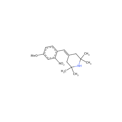 COc1ccc(C=C2CC(C)(C)NC(C)(C)C2)c([N+](=O)[O-])c1